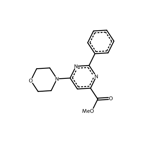 COC(=O)c1cc(N2CCOCC2)nc(-c2ccccc2)n1